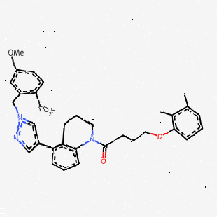 COc1ccc(C(=O)O)c(Cn2cc(-c3cccc4c3CCCN4C(=O)CCCOc3cccc(C)c3C)cn2)c1